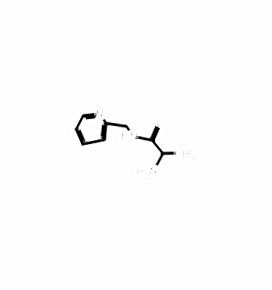 CC(N)C(=O)NCc1ccccn1